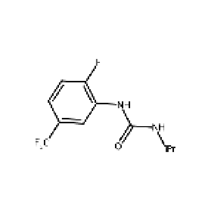 CC(C)NC(=O)Nc1cc(C(F)(F)F)ccc1F